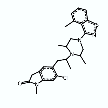 Cc1cccc2snc(N3CC(C)N(C(C)Cc4cc5c(cc4Cl)N(C)C(=O)C5)C(C)C3)c12